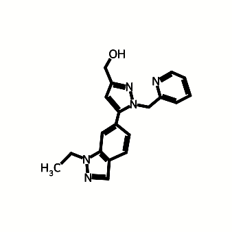 CCn1ncc2ccc(-c3cc(CO)nn3Cc3ccccn3)cc21